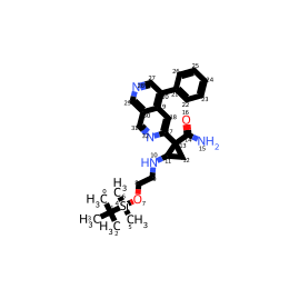 CC(C)(C)[Si](C)(C)OCCNC1CC1(C(N)=O)c1cc2c(-c3ccccc3)cncc2cn1